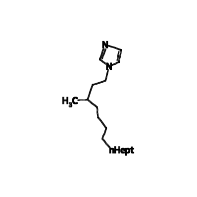 CCCCCCCCCCCC(C)CCn1ccnc1